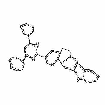 c1ccc(-c2cc(-c3ccccc3)nc(-c3ccc4c(c3)CCc3cc5c(cc3-4)sc3ccccc35)n2)cc1